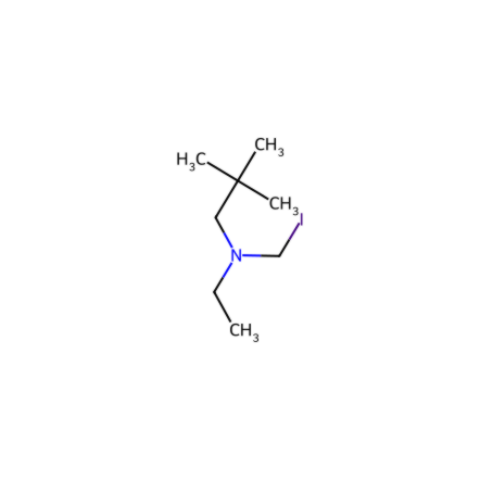 CCN(CI)CC(C)(C)C